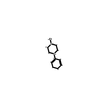 CCN1CCN(C2=CCCC=C2)CC1